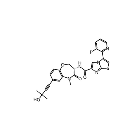 CN1C(=O)[C@@H](NC(=O)c2cn3c(-c4ncccc4F)csc3n2)COc2ccc(C#CC(C)(C)O)cc21